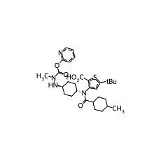 CC1CCC(C(=O)N(c2cc(C(C)(C)C)sc2C(=O)O)[C@H]2CC[C@H](NN(C)C(=O)Oc3ccccn3)CC2)CC1